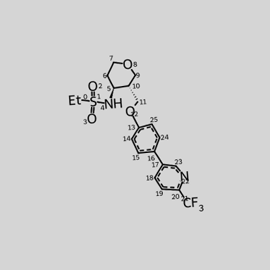 CCS(=O)(=O)N[C@H]1CCOC[C@@H]1COc1ccc(-c2ccc(C(F)(F)F)nc2)cc1